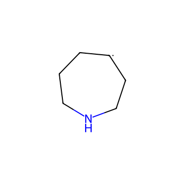 [CH]1CCCNCC1